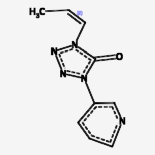 C/C=C\n1nnn(-c2cccnc2)c1=O